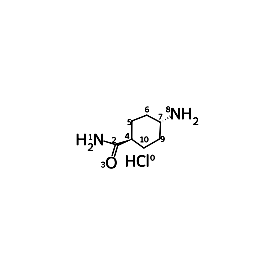 Cl.NC(=O)[C@H]1CC[C@H](N)CC1